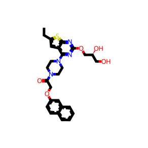 CCc1cc2c(N3CCN(C(=O)COc4ccc5ccccc5c4)CC3)nc(OC[C@H](O)CO)nc2s1